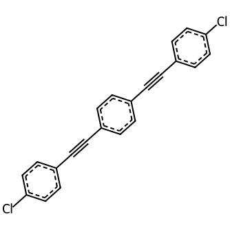 Clc1ccc(C#Cc2ccc(C#Cc3ccc(Cl)cc3)cc2)cc1